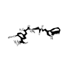 COc1ccc(CC(C)C(=O)NCC(=O)NCCc2c[nH]c3ccccc23)cc1C(=N)N